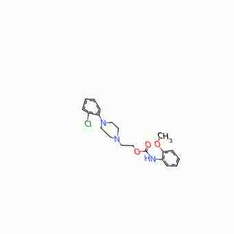 COc1ccccc1NC(=O)OCCN1CCN(c2ccccc2Cl)CC1